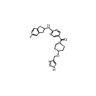 O=C(c1cnc(NC2Cc3ccc(F)cc3C2)nc1)N1CCC(OCc2c[nH]nn2)CC1